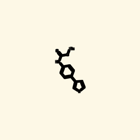 CC(C)(C)OC(=O)Nc1ccc(-c2ccsc2)cc1